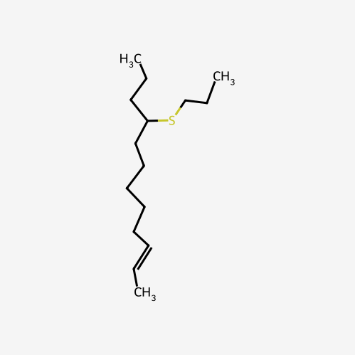 C/C=C/CCCCCC(CCC)SCCC